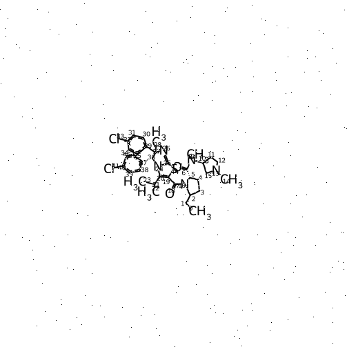 CCC1CC[C@@H](C(=O)N(C)[C@H]2CCN(C)C2)N1C(=O)C1=C(C(C)C)N2C(=N[C@@](C)(c3ccc(Cl)cc3)[C@H]2c2ccc(Cl)cc2)S1